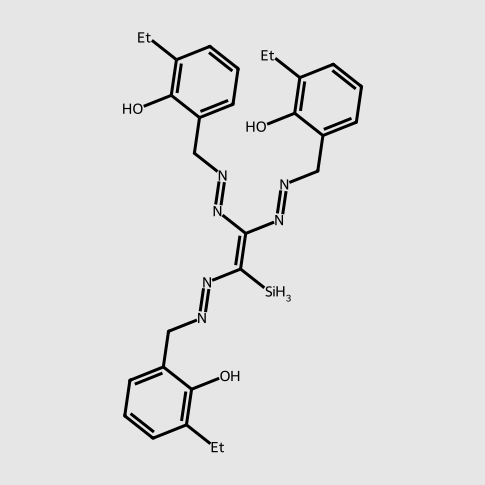 CCc1cccc(C/N=N/C([SiH3])=C(/N=N/Cc2cccc(CC)c2O)/N=N/Cc2cccc(CC)c2O)c1O